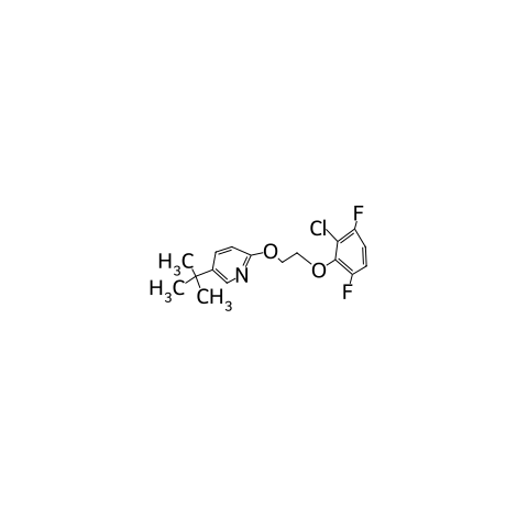 CC(C)(C)c1ccc(OCCOc2c(F)ccc(F)c2Cl)nc1